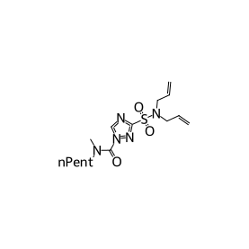 C=CCN(CC=C)S(=O)(=O)c1ncn(C(=O)N(C)CCCCC)n1